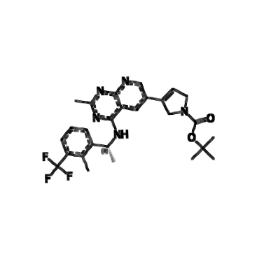 Cc1nc(N[C@H](C)c2cccc(C(F)(F)F)c2C)c2cc(C3=CCN(C(=O)OC(C)(C)C)C3)cnc2n1